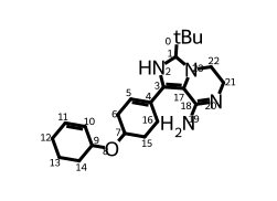 CC(C)(C)C1NC(C2=CCC(OC3C=CCCC3)CC2)=C2C(N)=NCCN21